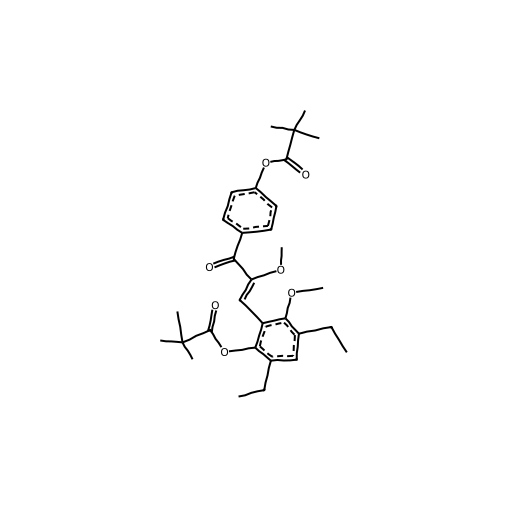 CCc1cc(CC)c(OC(=O)C(C)(C)C)c(C=C(OC)C(=O)c2ccc(OC(=O)C(C)(C)C)cc2)c1OC